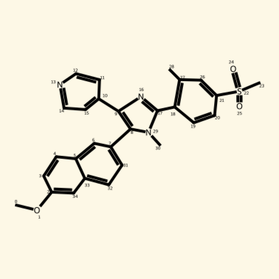 COc1ccc2cc(-c3c(-c4ccncc4)nc(-c4ccc(S(C)(=O)=O)cc4C)n3C)ccc2c1